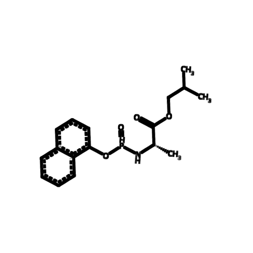 CC(C)COC(=O)[C@H](C)N[PH](=O)Oc1cccc2ccccc12